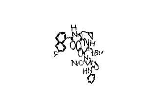 C=C[C@]1(C(=O)Nc2ccccc2)C[C@@H](C#N)N(C(=O)[C@H](CC(C)(C)C)NC(=O)[C@H](CC2CC2)NC(=O)c2cccc3cc(F)ccc23)C1